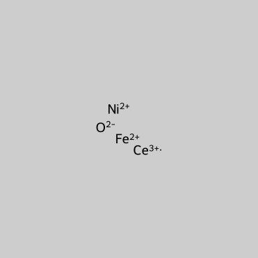 [Ce+3].[Fe+2].[Ni+2].[O-2]